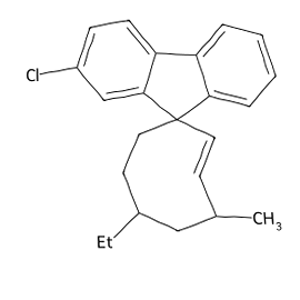 CCC1CCC2(/C=C/C(C)C1)c1ccccc1-c1ccc(Cl)cc12